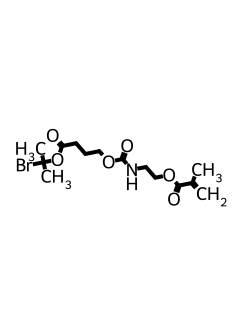 C=C(C)C(=O)OCCNC(=O)OCCCC(=O)OC(C)(C)Br